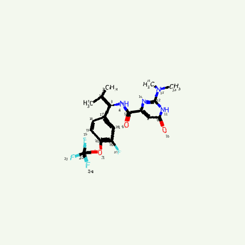 CC(C)[C@@H](NC(=O)c1cc(=O)[nH]c(N(C)C)n1)c1ccc(OC(F)(F)F)c(F)c1